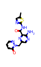 Cc1cnc(NC(=O)c2nc(Cn3ncccc3=O)cnc2N)s1